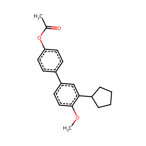 COc1ccc(-c2ccc(OC(C)=O)cc2)cc1C1CCCC1